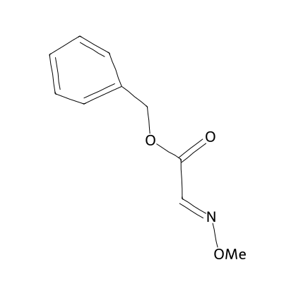 CON=CC(=O)OCc1ccccc1